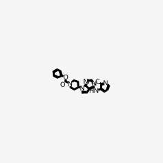 Cc1ncccc1Nc1ncnc2c1ccn2C1CCN(C(=O)Oc2ccccc2)CC1